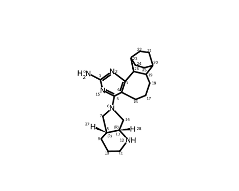 Nc1nc2c(c(N3C[C@H]4CCCN[C@H]4C3)n1)CCCC1C3CCC(CC3)C21